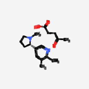 CC(=O)CCC(=O)O.Cc1cc([C@@H]2CCCN2C)cnc1C